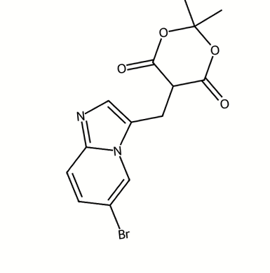 CC1(C)OC(=O)C(Cc2cnc3ccc(Br)cn23)C(=O)O1